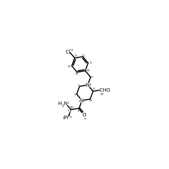 CC(C)[C@@H](N)C(=O)N1CCN(Cc2ccc(Cl)cc2)C(C=O)C1